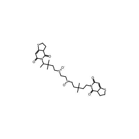 CC(N1C(=O)C=C2SCCC2C1=O)C(C)(C)CC[S+]([O-])CC[S+]([O-])CCC(C)(C)CCN1C(=O)C=C2SCCC2C1=O